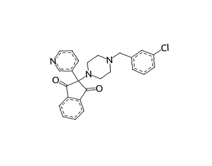 O=C1c2ccccc2C(=O)C1(c1cccnc1)N1CCN(Cc2cccc(Cl)c2)CC1